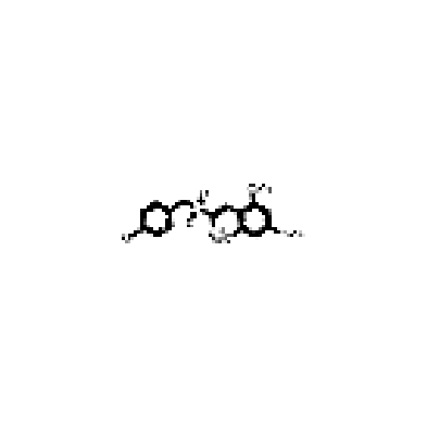 COc1cc(OC)c(C=C(C#N)S(=O)(=O)Cc2ccc(Cl)cc2)c(OC)c1